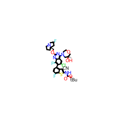 CC(C)(C)OC(=O)Nc1sc2c(F)ccc(-c3c(Cl)cc4c(N5CCOC[C@@](C)(O)C5)nc(OC[C@@]56CCCN5C[C@H](F)C6)nc4c3F)c2c1C#N